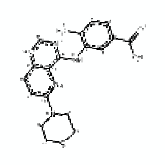 Cc1ccc(C(=O)O)cc1Nc1ncnc2ccc(N3CCOCC3)nc12